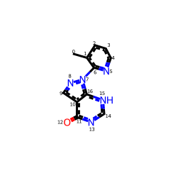 Cc1cccnc1-n1ncc2c(=O)nc[nH]c21